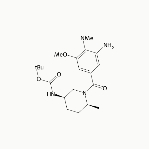 CNc1c(N)cc(C(=O)N2C[C@H](NC(=O)OC(C)(C)C)CC[C@@H]2C)cc1OC